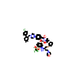 CC1(C)CCC(c2ccc(Cl)cc2)=C(CN2CCN(c3ccc(C(=O)N(C(C)(C)C)S(=O)(=O)c4ccc(S(=O)(=O)C(F)(F)F)c(N[C@H](CCN5CCOCC5)CSc5ccccc5)c4)cc3)CC2)C1